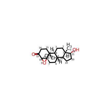 C[C@]12CC[C@H]3[C@@H](CC[C@@]45O[C@@]4(C)C(=O)CC[C@]35C)[C@@H]1CC[C@@H]2O